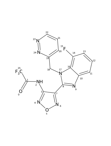 O=C(Nc1nonc1-c1nc2cccc(F)c2n1Cc1cccnn1)C(F)(F)F